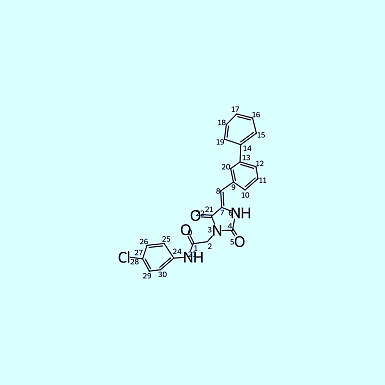 O=C(CN1C(=O)N/C(=C\c2cccc(-c3ccccc3)c2)C1=O)Nc1ccc(Cl)cc1